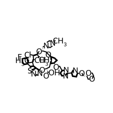 C#C/C1=C(Cl)\C(C)=C(/CC)c2c(-c3ccc(F)cc3)sc3ncnc(c23)O[C@@H](C(=O)O)Cc2cc(ccc2OCc2ccnc(-c3ccc(OC[C@H]4COCCO4)nc3)n2)OC[C@@H](CN2CCN(C)CC2)O1